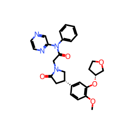 COc1ccc([C@@H]2CC(=O)N(CC(=O)N(c3ccccc3)c3cnccn3)C2)cc1O[C@@H]1CCOC1